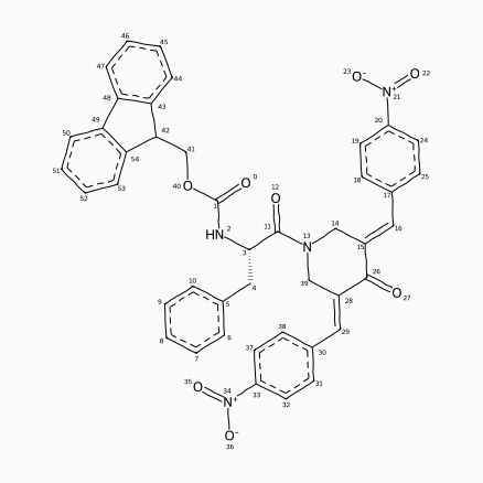 O=C(N[C@@H](Cc1ccccc1)C(=O)N1C/C(=C\c2ccc([N+](=O)[O-])cc2)C(=O)/C(=C/c2ccc([N+](=O)[O-])cc2)C1)OCC1c2ccccc2-c2ccccc21